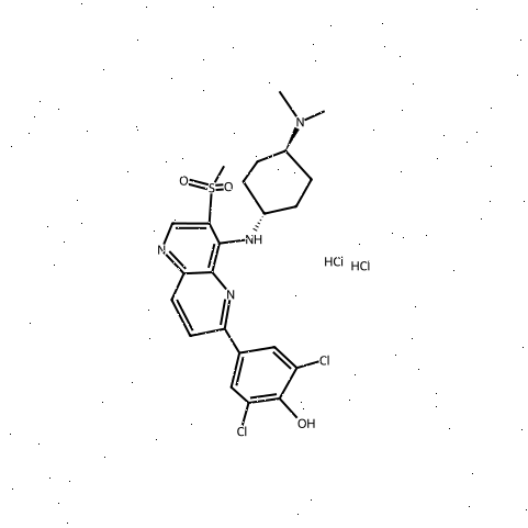 CN(C)[C@H]1CC[C@H](Nc2c(S(C)(=O)=O)cnc3ccc(-c4cc(Cl)c(O)c(Cl)c4)nc23)CC1.Cl.Cl